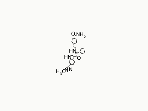 Cn1cnc(-c2ccc3c(C(=O)[C@H](NCCc4ccc(C(N)=O)cc4)c4ccccc4)c[nH]c3c2)c1